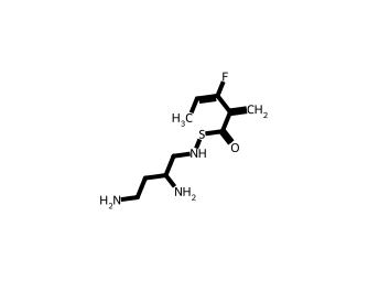 C=C(C(=O)SNCC(N)CCN)/C(F)=C\C